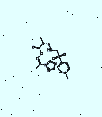 CC(=NOC(=O)N(C)SNCS(=O)(=O)c1ccc(C)cc1)n1cncn1